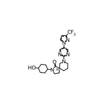 O=C1N(C2CCC(O)CC2)CC[C@@]12CCCN(c1ncc(-n3ccc(C(F)(F)F)n3)cn1)C2